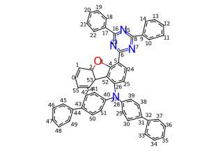 C1=CC2Oc3c(-c4nc(-c5ccccc5)nc(-c5ccccc5)n4)ccc(N(c4ccc(-c5ccccc5)cc4)c4ccc(-c5ccccc5)cc4)c3C2C=C1